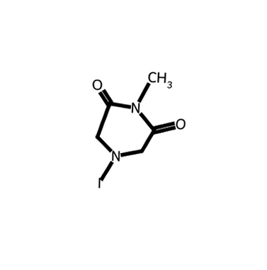 CN1C(=O)CN(I)CC1=O